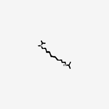 CC(C)NCCCCCCCCCCN(C)C(C)C